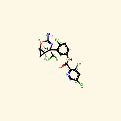 NC1=N[C@@](c2cc(NC(=O)c3ncc(Cl)cc3F)ccc2F)(C(F)F)[C@H]2C[C@H]2O1